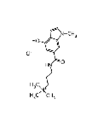 Cn1ccc2c(O)cc(C(=O)NCCC[N+](C)(C)C)cc21.[Cl-]